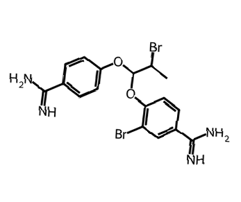 CC(Br)C(Oc1ccc(C(=N)N)cc1)Oc1ccc(C(=N)N)cc1Br